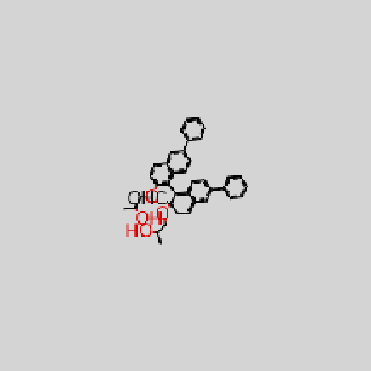 CC(O)COc1ccc2cc(-c3ccccc3)ccc2c1C1=c2ccc(-c3ccccc3)cc2=CCC1(C=O)OCC(C)O